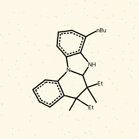 CCCCc1cccc2c1NC1N2c2ccccc2C(C)(CC)C1(C)CC